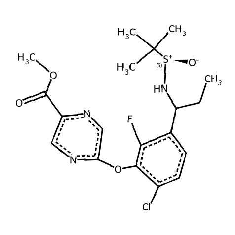 CCC(N[S@+]([O-])C(C)(C)C)c1ccc(Cl)c(Oc2cnc(C(=O)OC)cn2)c1F